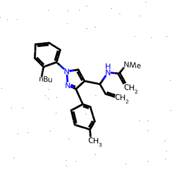 C=CC(NC(=C)NC)c1cn(-c2ccccc2CCCC)nc1-c1ccc(C)cc1